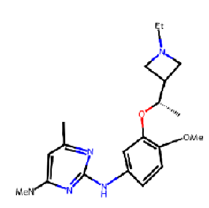 CCN1CC([C@H](C)Oc2cc(Nc3nc(C)cc(NC)n3)ccc2OC)C1